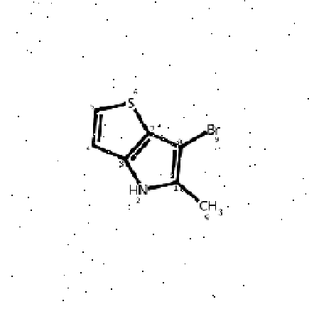 Cc1[nH]c2ccsc2c1Br